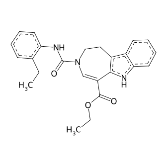 CCOC(=O)C1=CN(C(=O)Nc2ccccc2CC)CCc2c1[nH]c1ccccc21